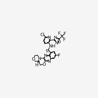 C[C@@H](Nc1ccc(Cl)nc1-c1noc(C(F)(F)F)n1)c1cc(F)cc2nc3c(nc12)N1CCOC[C@H]1CO3